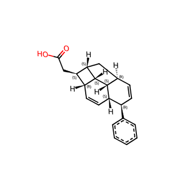 O=C(O)C[C@@H]1[C@H]2C=C[C@@H]3[C@@H]4[C@H]2[C@H]1C[C@H]4C=C[C@H]3c1ccccc1